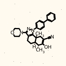 C[C@H]1C(O)=C(C#N)C[C@@]2(C)c3c(c(N4CCOCC4)nn3-c3ccc(-c4ccccc4)cc3)CC[C@H]12